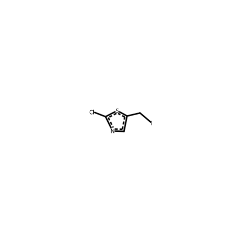 Clc1ncc(CI)s1